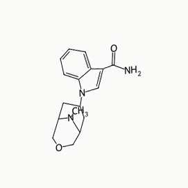 CN1C2COCC1CC(n1cc(C(N)=O)c3ccccc31)C2